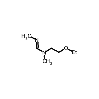 CCOCCN(C)/C=N/C